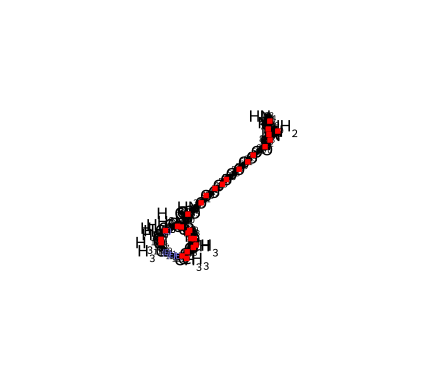 CO[C@H]1C[C@@H]2CC[C@@H](C)[C@@](O)(O2)C(=O)C(=O)N2CCCC[C@H]2C(=O)O[C@H]([C@H](N)CC2CC[C@@H](OC(=O)NCCOCCOCCOCCOCCOCCOCCOCCOCCOCCOCCC(=O)N3CCC(n4nc(-c5cnc6[nH]ccc6c5)c5c(N)ncnc54)CC3)[C@H](OC)C2)CC(=O)[C@H](C)/C=C(\C)[C@@H](O)[C@@H](O)C(=O)[C@H](C)C[C@H](C)/C=C/C=C/C=C/1C